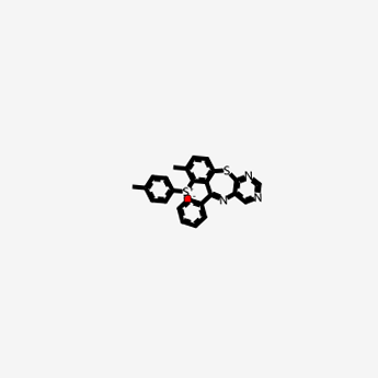 Cc1ccc([S+]([O-])c2c(C)ccc3c2C(c2ccccc2)=Nc2cncnc2S3)cc1